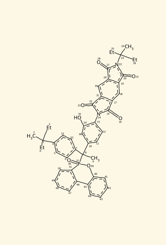 CCC(C)(CC)c1ccc(C(C)(c2ccc(-n3c(=O)c4cc5c(=O)n(C(C)(CC)CC)c(=O)c5cc4c3=O)c(O)c2)P2(=O)Oc3ccccc3-c3ccccc32)cc1